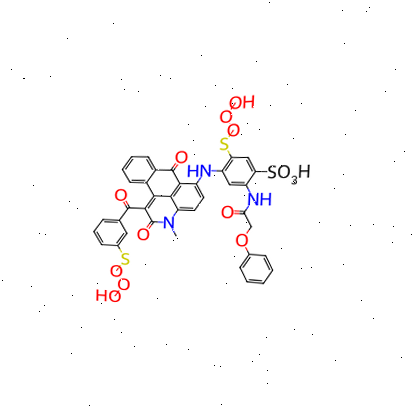 Cn1c(=O)c(C(=O)c2cccc(SOOO)c2)c2c3c(c(Nc4cc(NC(=O)COc5ccccc5)c(S(=O)(=O)O)cc4SOOO)ccc31)C(=O)c1ccccc1-2